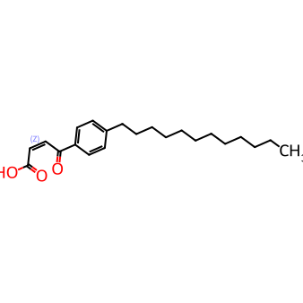 CCCCCCCCCCCCc1ccc(C(=O)/C=C\C(=O)O)cc1